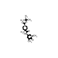 Cc1cc(NC(=O)C2(C)CCN(C(=O)OC(C)(C)C)CC2)cn(C)c1=O